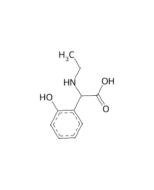 CCNC(C(=O)O)c1ccccc1O